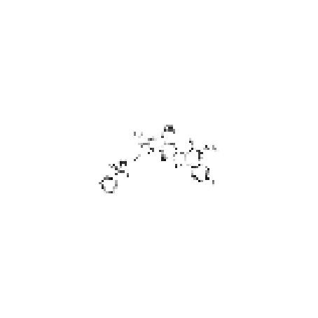 CCc1cc2c(C(=O)NC)c(-c3ccc(F)cc3)oc2nc1N(CCCNS(=O)(=O)c1ccccc1)S(C)(=O)=O